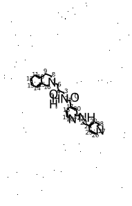 O=C(NC[C@H](O)CN1CCc2ccccc2C1)c1ccnc(NCc2ccncc2)c1